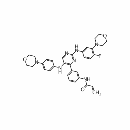 C=CC(=O)Nc1cccc(-c2nc(Nc3ccc(F)c(N4CCOCC4)c3)ncc2Nc2ccc(N3CCOCC3)cc2)c1